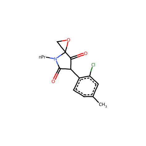 CCCN1C(=O)C(c2ccc(C)cc2Cl)C(=O)C12CO2